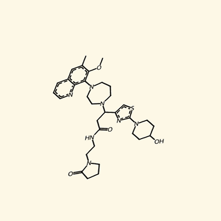 COc1c(C)cc2cccnc2c1N1CCCN(C(CC(=O)NCCN2CCCC2=O)c2csc(N3CCC(O)CC3)n2)CC1